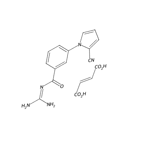 N#Cc1cccn1-c1cccc(C(=O)N=C(N)N)c1.O=C(O)/C=C/C(=O)O